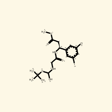 COC(=O)C[C@H](NC(=O)CNC(O)OC(C)(C)C)c1cc(Cl)cc(I)c1